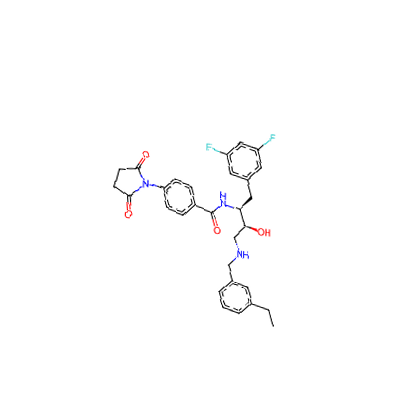 CCc1cccc(CNC[C@H](O)[C@H](Cc2cc(F)cc(F)c2)NC(=O)c2ccc(N3C(=O)CCC3=O)cc2)c1